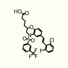 O=C(O)CCCC1CN(S(=O)(=O)c2cccc(C(F)(F)F)c2)c2cc(C=Cc3c(F)cccc3Cl)ccc2O1